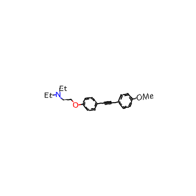 CCN(CC)CCOc1ccc(C#Cc2ccc(OC)cc2)cc1